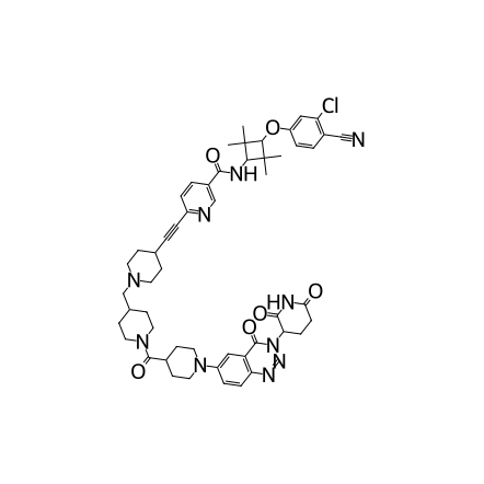 CC1(C)C(NC(=O)c2ccc(C#CC3CCN(CC4CCN(C(=O)C5CCN(c6ccc7nnn(C8CCC(=O)NC8=O)c(=O)c7c6)CC5)CC4)CC3)nc2)C(C)(C)C1Oc1ccc(C#N)c(Cl)c1